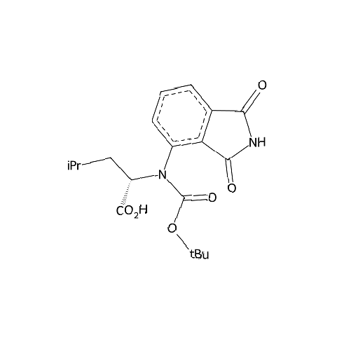 CC(C)C[C@@H](C(=O)O)N(C(=O)OC(C)(C)C)c1cccc2c1C(=O)NC2=O